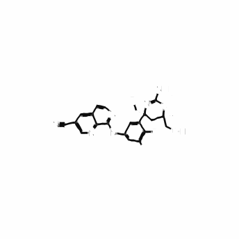 C[C@]1(CO)C[C@@](CF)(c2cc(Nc3nccc4cc(C#N)cnc34)cc(F)c2F)N=C(N)S1